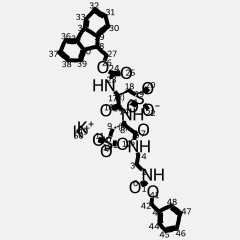 O=C(NCCNC(=O)[C@H](CS(=O)(=O)[O-])NC(=O)[C@H](CS(=O)(=O)[O-])NC(=O)OCC1c2ccccc2-c2ccccc21)OCc1ccccc1.[K+].[K+]